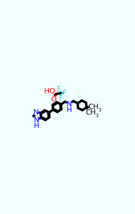 CC1(C)CCC(CNCc2ccc(-c3ccc4[nH]cnc4c3)cc2)CC1.O=C(O)C(F)(F)F